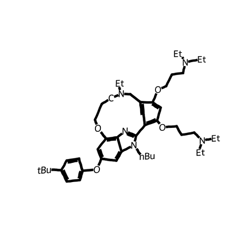 CCCCn1c2nc3c(cc(Oc4ccc(C(C)(C)C)cc4)cc31)OCCCN(CC)Cc1cc-2c(OCCCN(CC)CC)cc1OCCCN(CC)CC